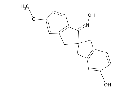 COc1ccc2c(c1)CC1(Cc3ccc(O)cc3C1)/C2=N/O